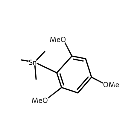 COc1cc(OC)[c]([Sn]([CH3])([CH3])[CH3])c(OC)c1